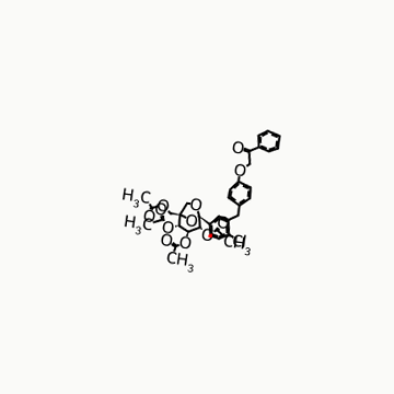 CC(=O)OC[C@@]12CO[C@@](c3ccc(Cl)c(Cc4ccc(OCC(=O)c5ccccc5)cc4)c3)(O1)[C@H](OC(C)=O)[C@@H](OC(C)=O)[C@@H]2OC(C)=O